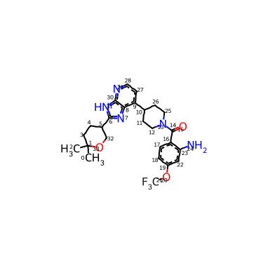 CC1(C)CCC(c2nc3c(C4CCN(C(=O)c5ccc(OC(F)(F)F)cc5N)CC4)ccnc3[nH]2)CO1